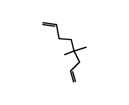 C=CCCC(C)(C)CC=C